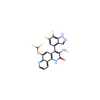 Nc1c(-c2cc(F)c(F)c3[nH]ncc23)c2cc(OC(F)F)c3ncccc3c2[nH]c1=O